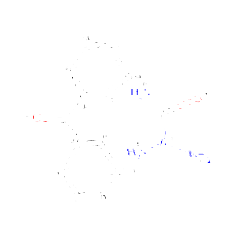 NC(=O)N(N)N.O=C(c1ccccc1)c1ccccc1